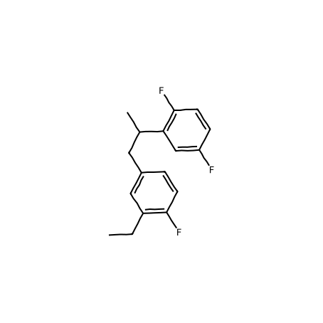 CCc1cc(CC(C)c2cc(F)ccc2F)ccc1F